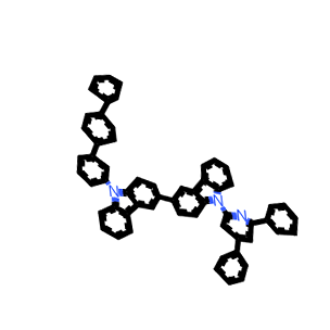 c1ccc(-c2ccc(-c3cccc(-n4c5ccccc5c5cc(-c6ccc7c(c6)c6ccccc6n7-c6cc(-c7ccccc7)cc(-c7ccccc7)n6)ccc54)c3)cc2)cc1